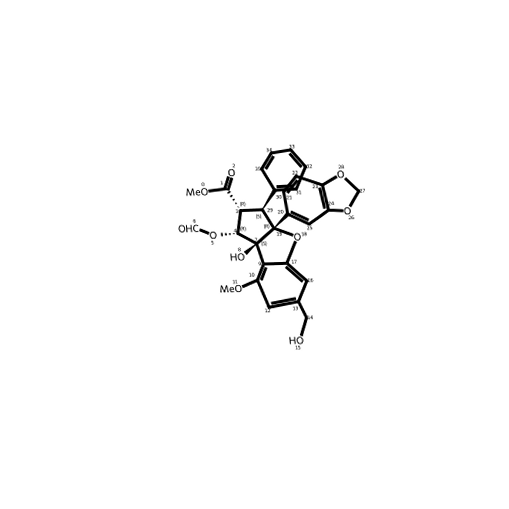 COC(=O)[C@H]1[C@@H](OC=O)[C@@]2(O)c3c(OC)cc(CO)cc3O[C@@]2(c2ccc3c(c2)OCO3)[C@@H]1c1ccccc1